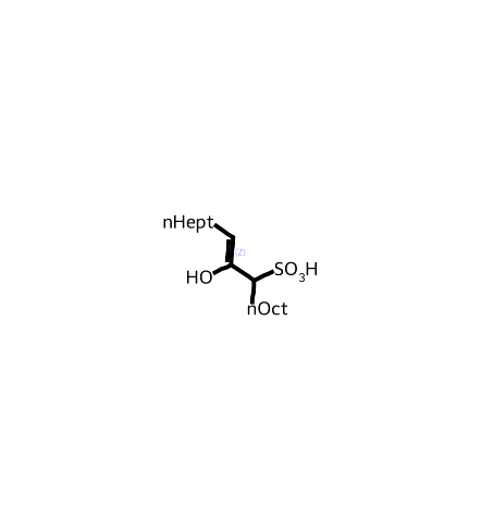 CCCCCCC/C=C(\O)C(CCCCCCCC)S(=O)(=O)O